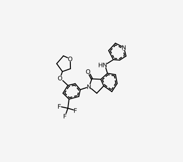 O=C1c2c(cccc2Nc2ccncc2)CN1c1cc(OC2CCOC2)cc(C(F)(F)F)c1